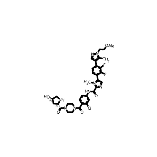 COCCn1ncc(-c2ccc(-c3cnc(C(=O)Nc4ccc(C(=O)N5CCN(C(=O)[C@@H]6C[C@@H](O)CN6)CC5)c(Cl)c4)n3C)c(F)c2F)c1C